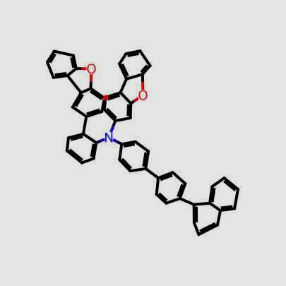 c1ccc(N(c2ccc(-c3ccc(-c4cccc5ccccc45)cc3)cc2)c2ccc3c(c2)oc2ccccc23)c(-c2ccc3oc4ccccc4c3c2)c1